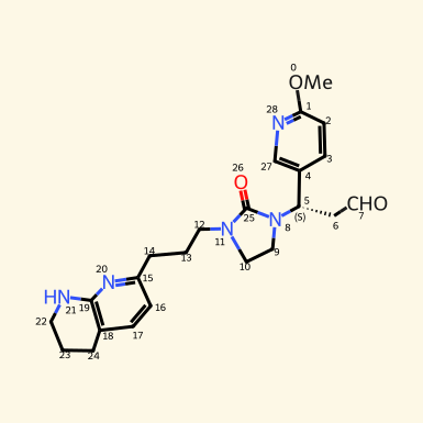 COc1ccc([C@H](CC=O)N2CCN(CCCc3ccc4c(n3)NCCC4)C2=O)cn1